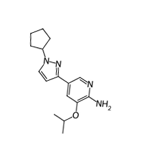 CC(C)Oc1cc(-c2ccn(C3CCCC3)n2)cnc1N